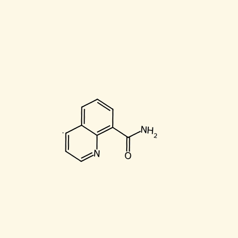 NC(=O)c1cccc2[c]ccnc12